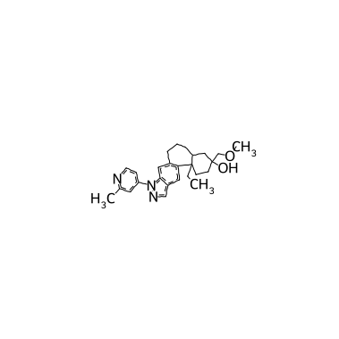 CCC12CCC(O)(COC)CC1CCCc1cc3c(cnn3-c3ccnc(C)c3)cc12